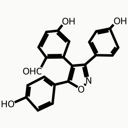 O=Cc1ccc(O)cc1-c1c(-c2ccc(O)cc2)noc1-c1ccc(O)cc1